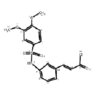 COc1ccc(S(=O)(=O)Nc2cccc(C=CC(=O)Cl)c2)cc1OC